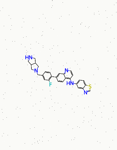 Fc1cc(CN2CC3CNCC3C2)ccc1-c1ccc2c(Nc3ccc4scnc4c3)ccnc2c1